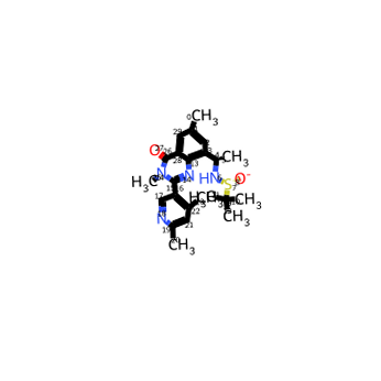 Cc1cc([C@@H](C)N[S+]([O-])C(C)(C)C)c2nc(-c3cnc(C)cc3C)n(C)c(=O)c2c1